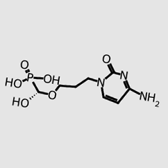 Nc1ccn(CCCO[C@H](O)P(=O)(O)O)c(=O)n1